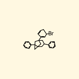 BrC1C=C(C23CC(c4ccccc4)CC4(C2)CC4(c2ccccc2)C3)C=CC1